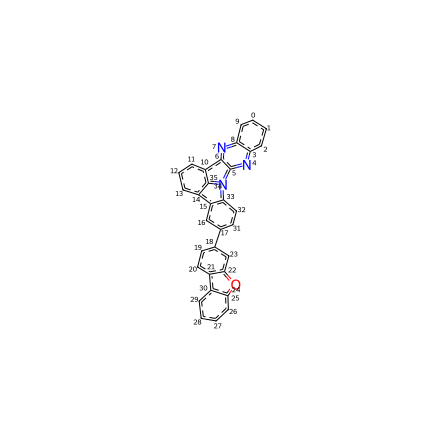 c1ccc2nc3c(nc2c1)c1cccc2c4cc(-c5ccc6c(c5)oc5ccccc56)ccc4n3c21